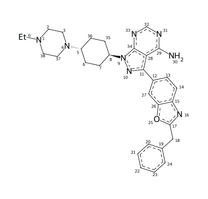 CCN1CCN([C@H]2CC[C@H](n3nc(-c4ccc5nc(Cc6ccccc6)oc5c4)c4c(N)ncnc43)CC2)CC1